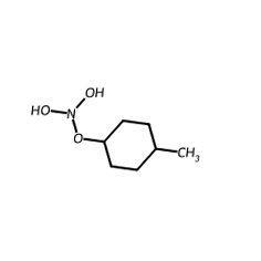 CC1CCC(ON(O)O)CC1